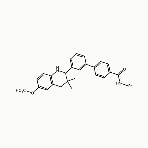 CC(C)NC(=O)c1ccc(-c2cccc(C3Nc4ccc(OC(=O)O)cc4CC3(C)C)c2)cc1